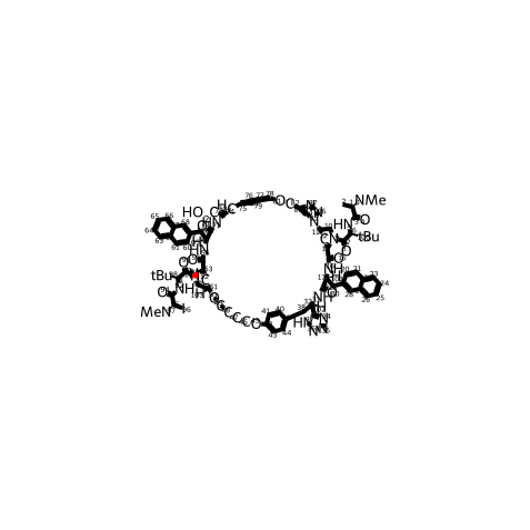 CN[C@@H](C)C(=O)N[C@H](C(=O)N1CC2CC1C(=O)N[C@@H](Cc1ccc3ccccc3c1)C(=O)N[C@H](c1nnn[nH]1)Cc1ccc(cc1)OCCCCO[C@H]1C[C@@H](C(=O)N[C@@H](Cc3ccc4ccccc4c3)C(=O)N[C@H](C(=O)O)Cc3ccc(cc3)OCc3cn2nn3)N(C(=O)[C@@H](NC(=O)[C@H](I)NC)C(C)(C)C)C1)C(C)(C)C